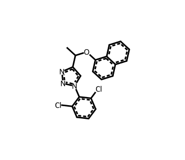 CC(Oc1cccc2ccccc12)c1cn(-c2c(Cl)cccc2Cl)nn1